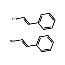 CC(C)(C)C=Cc1ccccc1.OC=Cc1ccccc1